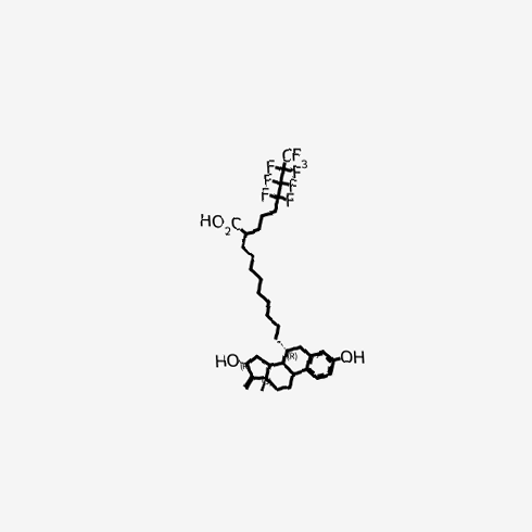 C=C1[C@H](O)CC2C3C(CC[C@]12C)c1ccc(O)cc1C[C@H]3CCCCCCCCCC(CCCC(F)(F)C(F)(F)C(F)(F)C(F)(F)F)C(=O)O